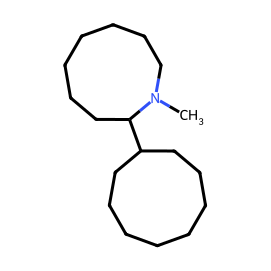 CN1CCCCCCCC1C1CCCCCCCC1